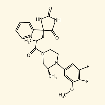 COc1cc(N2CCN(C(=O)[C@@H](C)C[C@@]3(c4ccccn4)NC(=O)NC3=O)C[C@@H]2C)cc(F)c1F